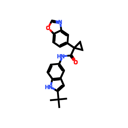 CC(C)(C)c1cc2cc(NC(=O)C3(c4ccc5ocnc5c4)CC3)ccc2[nH]1